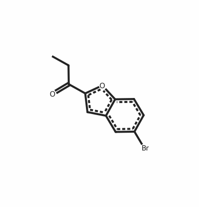 CCC(=O)c1cc2cc(Br)ccc2o1